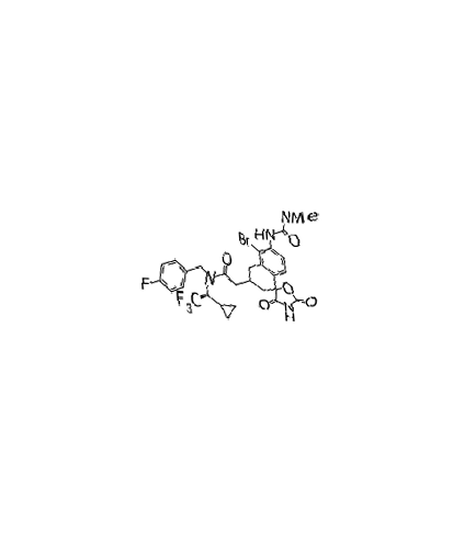 CNC(=O)Nc1ccc2c(c1Br)CC(CC(=O)N(Cc1ccc(F)cc1)[C@@H](C1CC1)C(F)(F)F)CC21OC(=O)NC1=O